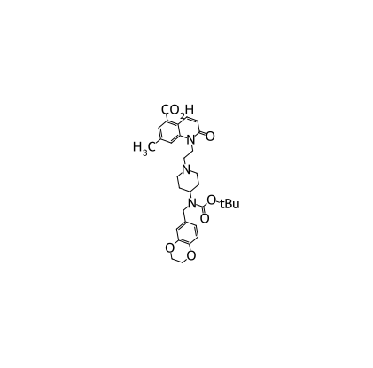 Cc1cc(C(=O)O)c2ccc(=O)n(CCN3CCC(N(Cc4ccc5c(c4)OCCO5)C(=O)OC(C)(C)C)CC3)c2c1